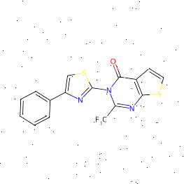 O=c1c2ccsc2nc(C(F)(F)F)n1-c1nc(-c2ccccc2)cs1